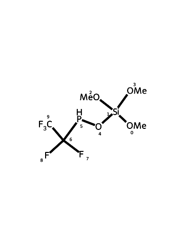 CO[Si](OC)(OC)OPC(F)(F)C(F)(F)F